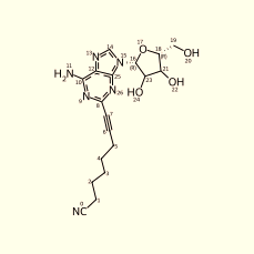 N#CCCCCCC#Cc1nc(N)c2ncn([C@@H]3O[C@H](CO)C(O)C3O)c2n1